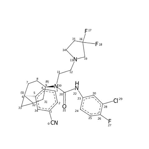 N#Cc1cccc([C@]23CC[C@@H](N(CCN4CCC(F)(F)C4)C(=O)Nc4ccc(F)c(Cl)c4)CC2C3)c1